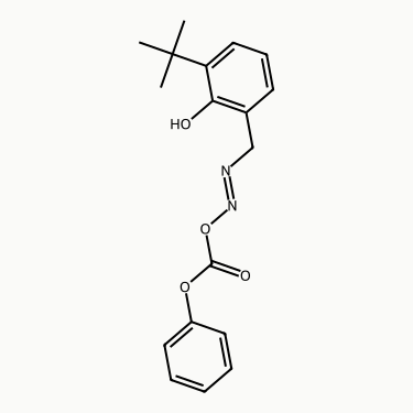 CC(C)(C)c1cccc(C/N=N/OC(=O)Oc2ccccc2)c1O